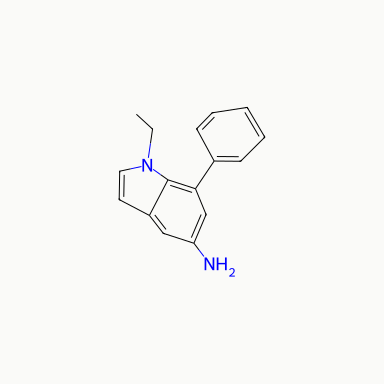 CCn1ccc2cc(N)cc(-c3ccccc3)c21